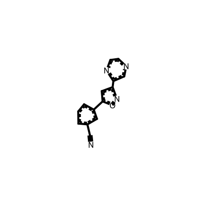 N#Cc1cccc(-c2cc(-c3cnccn3)no2)c1